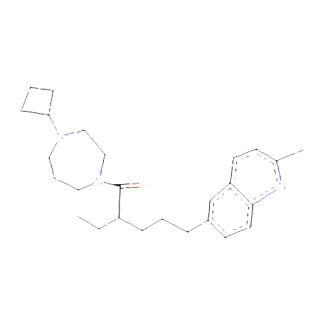 CCC(CCCc1ccc2nc(C)ccc2c1)C(=O)N1CCCN(C2CCC2)CC1